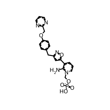 Nc1c(-c2cc(Cc3ccc(OCc4ncccn4)cc3)no2)ccc[n+]1COP(=O)([O-])O